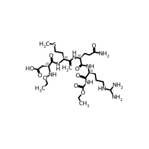 C=C(N[C@@H](CCC(N)=O)C(=O)N[C@@H](CCCNC(N)N)C(=O)NC(=O)OCC)[C@H](CCSC)NC(=O)[C@H](CC(=O)O)NOCC